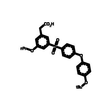 CCCOc1cc(CC(=O)O)cc(S(=O)(=O)c2ccc(Oc3ccc(OC(C)(C)C)cc3)cc2)c1